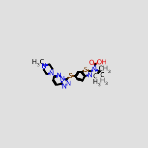 CN1CCN(c2ccc3nnc(Sc4ccc5nc(N(C(=O)O)C(C)(C)C)sc5c4)n3n2)CC1